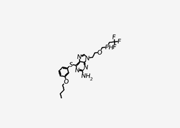 CCCCOc1cccc(Sc2nc(N)nc3c2ncn3CCOCPCC(F)(F)F)c1